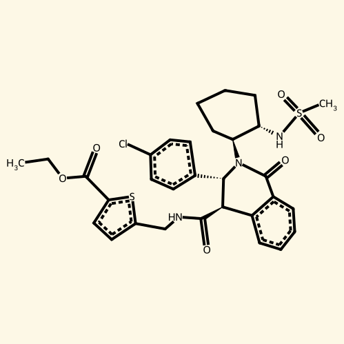 CCOC(=O)c1ccc(CNC(=O)[C@@H]2c3ccccc3C(=O)N([C@H]3CCCC[C@@H]3NS(C)(=O)=O)[C@H]2c2ccc(Cl)cc2)s1